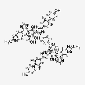 Cc1nc2ccc(-n3ncnc3[C@@H]3O[C@@H]4COC(c5ccccc5)O[C@@H]4[C@H](n4cc(-c5cc(F)c(N6CCC(O)CC6)c(F)c5)nn4)[C@H]3O)cc2s1.Cc1nc2ccc(-n3ncnc3[C@@H]3O[C@H](CO)[C@H](O)[C@H](n4cc(-c5cc(F)c(N6CCC(O)CC6)c(F)c5)nn4)[C@H]3O)cc2s1